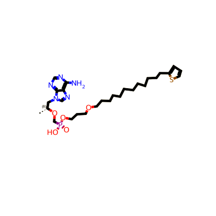 C[C@H](Cn1cnc2c(N)ncnc21)OCP(=O)(O)OCCCOCCCCCCCCCCCCc1cccs1